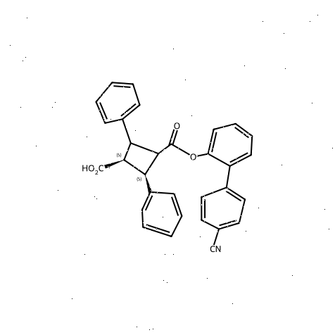 N#Cc1ccc(-c2ccccc2OC(=O)C2C(c3ccccc3)[C@H](C(=O)O)[C@@H]2c2ccccc2)cc1